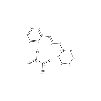 C(=Cc1ccccc1)CN1CCCCC1.O=C(O)C(=O)O